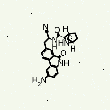 N#CC(Cc1ccc2c(c1)c(=O)[nH]c1ccc(N)cc12)NC(=O)[C@H]1N[C@@H]2CC[C@H]1C2